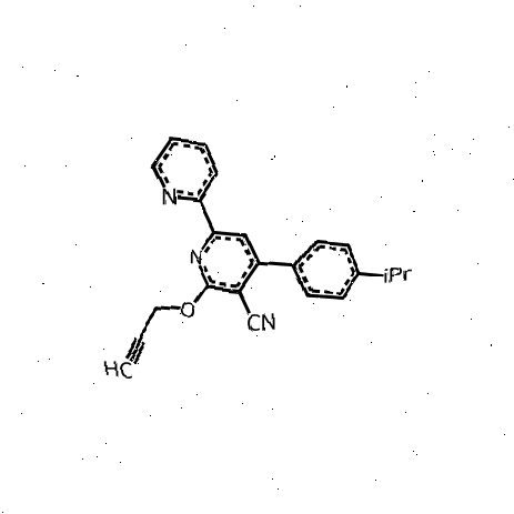 C#CCOc1nc(-c2ccccn2)cc(-c2ccc(C(C)C)cc2)c1C#N